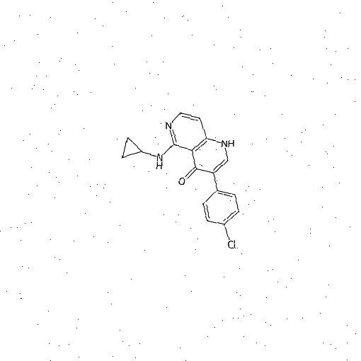 O=c1c(-c2ccc(Cl)cc2)c[nH]c2ccnc(NC3CC3)c12